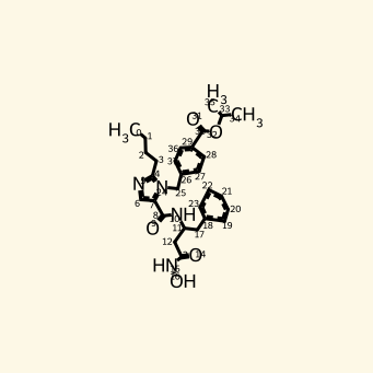 CCCCc1ncc(C(=O)NC(CC(=O)NO)Cc2ccccc2)n1Cc1ccc(C(=O)OC(C)C)cc1